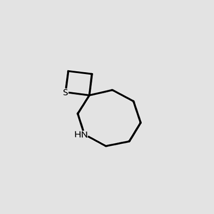 C1CCNCC2(CC1)CCS2